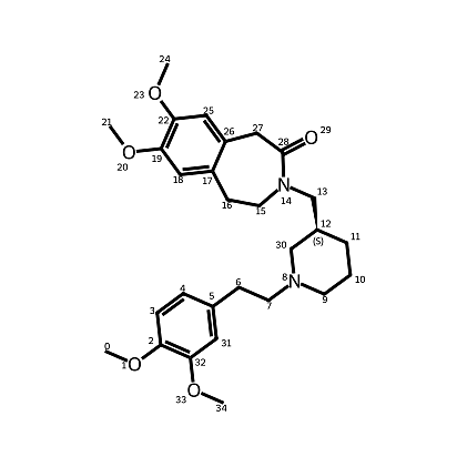 COc1ccc(CCN2CCC[C@H](CN3CCc4cc(OC)c(OC)cc4CC3=O)C2)cc1OC